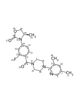 Cc1cnc(N2CCN(C(=O)c3ccc(N4C(=O)OC[C@H]4C)cc3F)CC2)c(C)c1